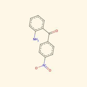 Nc1ccccc1C(=O)c1ccc([N+](=O)[O-])cc1